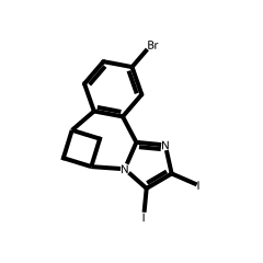 Brc1ccc2c(c1)-c1nc(I)c(I)n1C1CC2C1